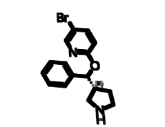 Brc1ccc(OC(c2ccccc2)[C@@H]2CCNC2)nc1